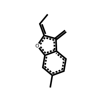 C=c1/c(=C\C)oc2cc(C)ccc12